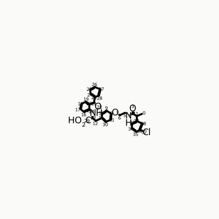 CC(C(=O)NCCOc1ccc(CC(Nc2ccccc2C(=O)c2ccccc2)C(=O)O)cc1)c1cccc(Cl)c1